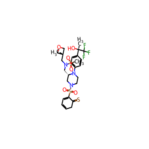 CC1(CN(C[C@H]2CN(S(=O)(=O)C3=CC=CCC3=S)CCN2c2ccc([C@](C)(O)C(F)(F)F)cc2)S(C)(=O)=O)COC1